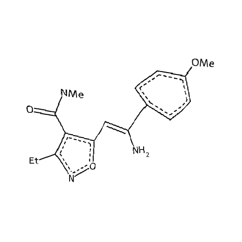 CCc1noc(C=C(N)c2ccc(OC)cc2)c1C(=O)NC